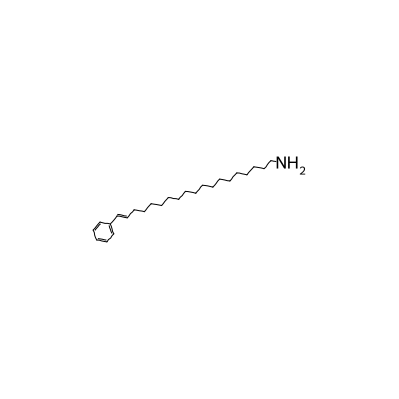 NCCCCCCCCCCCCCCCCCC=Cc1ccccc1